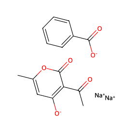 CC(=O)c1c([O-])cc(C)oc1=O.O=C([O-])c1ccccc1.[Na+].[Na+]